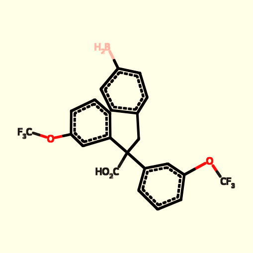 Bc1ccc(CC(C(=O)O)(c2cccc(OC(F)(F)F)c2)c2cccc(OC(F)(F)F)c2)cc1